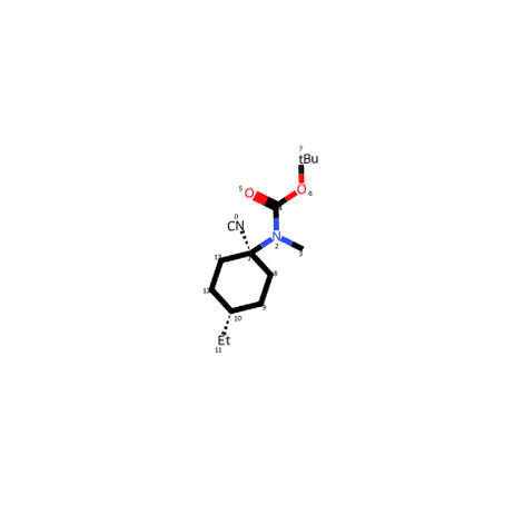 [C-]#[N+][C@]1(N(C)C(=O)OC(C)(C)C)CC[C@H](CC)CC1